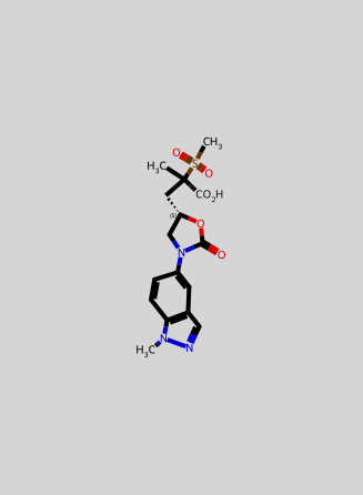 Cn1ncc2cc(N3C[C@H](CC(C)(C(=O)O)S(C)(=O)=O)OC3=O)ccc21